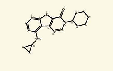 O=c1c2sc3nccc(NC4CC4)c3c2ncn1C1CCCCC1